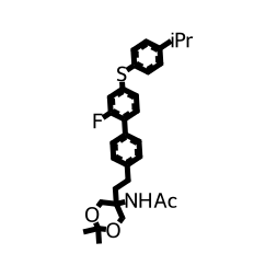 CC(=O)NC1(CCc2ccc(-c3ccc(Sc4ccc(C(C)C)cc4)cc3F)cc2)COC(C)(C)OC1